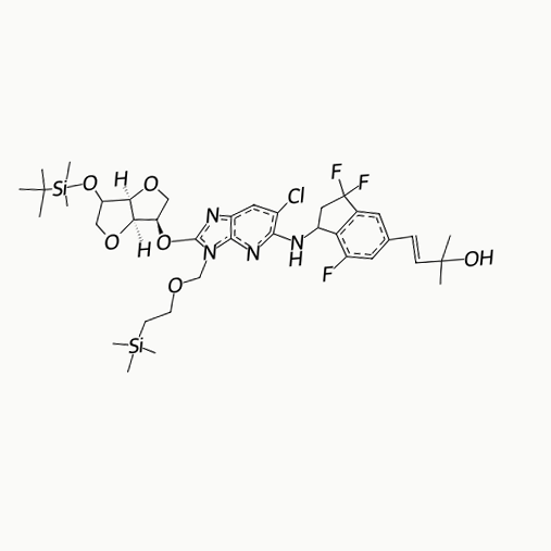 CC(C)(O)/C=C/c1cc(F)c2c(c1)C(F)(F)CC2Nc1nc2c(cc1Cl)nc(O[C@@H]1CO[C@@H]3C(O[Si](C)(C)C(C)(C)C)CO[C@@H]31)n2COCC[Si](C)(C)C